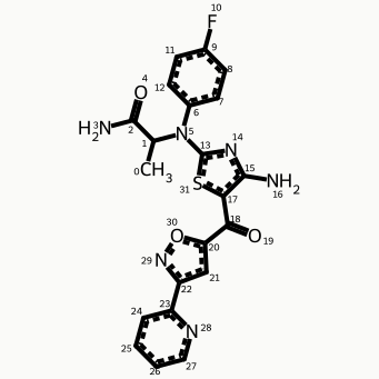 CC(C(N)=O)N(c1ccc(F)cc1)c1nc(N)c(C(=O)c2cc(-c3ccccn3)no2)s1